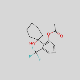 CC(=O)Oc1cccc(C(F)(F)F)c1C1(O)CCCCC1